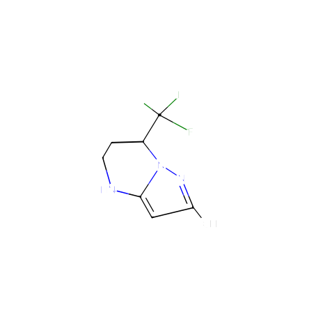 Cc1cc2n(n1)C(C(F)(F)F)CCN2